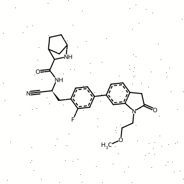 COCCN1C(=O)Cc2ccc(-c3ccc(C[C@@H](C#N)NC(=O)C4NC5CCC4C5)c(F)c3)cc21